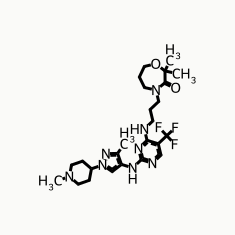 Cc1nn(C2CCN(C)CC2)cc1Nc1ncc(C(F)(F)F)c(NCCCN2CCCOC(C)(C)C2=O)n1